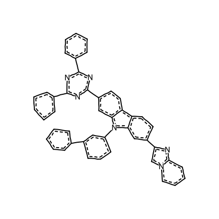 c1ccc(-c2cccc(-n3c4cc(-c5cn6ccccc6n5)ccc4c4ccc(-c5nc(-c6ccccc6)nc(-c6ccccc6)n5)cc43)c2)cc1